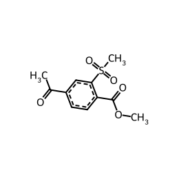 COC(=O)c1ccc(C(C)=O)cc1S(C)(=O)=O